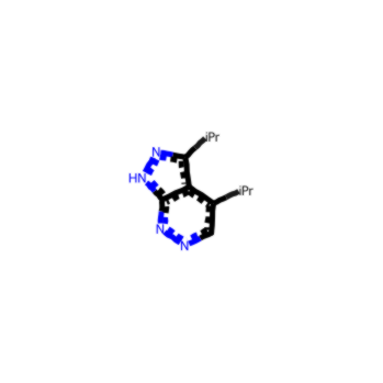 CC(C)c1cnnc2[nH]nc(C(C)C)c12